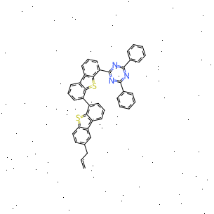 C=CCc1ccc2sc3c(-c4cccc5c4sc4c(-c6nc(-c7ccccc7)nc(-c7ccccc7)n6)cccc45)cccc3c2c1